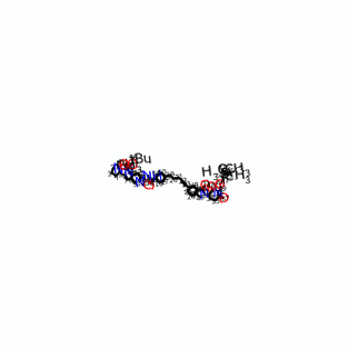 CN1CCC[C@@H]1c1cc2cnc(NC(=O)c3ccc(CCCC#Cc4ccc5c(c4)C(=O)N(C4CCC(=O)N(COCC[Si](C)(C)C)C4=O)C5)cc3)cc2n1C(=O)OC(C)(C)C